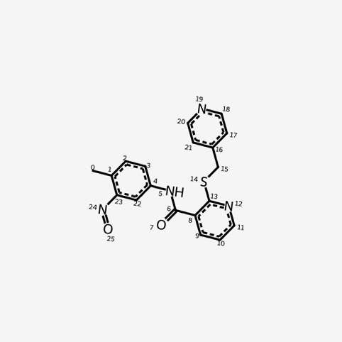 Cc1ccc(NC(=O)c2cccnc2SCc2ccncc2)cc1N=O